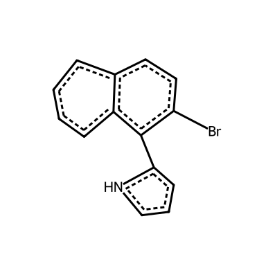 Brc1ccc2ccccc2c1-c1ccc[nH]1